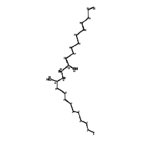 CCCCCCCCCCC(O)[Se][Se]C(O)CCCCCCCCCC